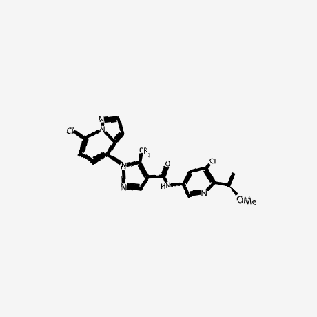 CO[C@H](C)c1ncc(NC(=O)c2cnn(-c3ccc(Cl)n4nccc34)c2C(F)(F)F)cc1Cl